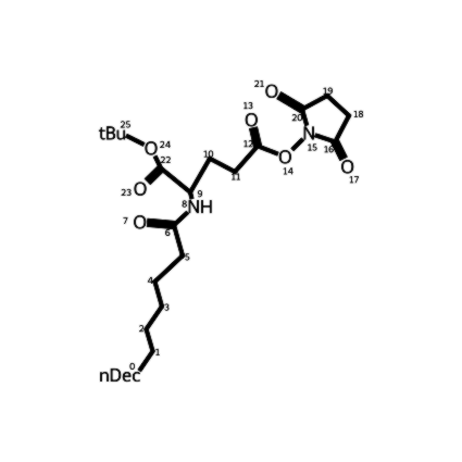 CCCCCCCCCCCCCCCC(=O)NC(CCC(=O)ON1C(=O)CCC1=O)C(=O)OC(C)(C)C